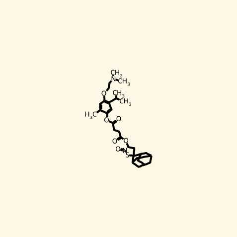 Cc1cc(OCCN(C)C)c(C(C)C)cc1OC(=O)CCC(=O)OCCC1(SN=O)C2CC3CC(C2)CC1C3